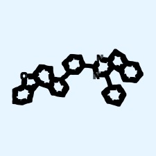 c1ccc(-c2nc(-c3cccc(-c4cccc5c4ccc4oc6ccccc6c45)c3)nc3ccc4ccccc4c23)cc1